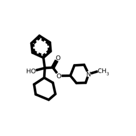 CN1CCC(OC(=O)C(O)(c2ccccc2)C2CCCCC2)CC1